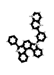 c1ccc(-c2nc3ccccc3c3c2ccc2c3c3ccccc3n2-c2cccc(-c3ccc4ncccc4n3)c2)cc1